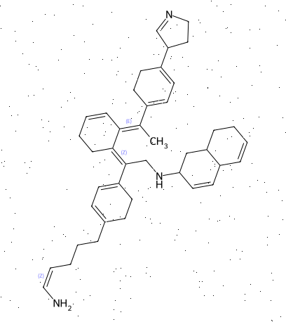 C/C(C1=CC=C(C2C=NCC2)CC1)=C1/C=CCC/C1=C(/CNC1C=CC2C=CCCC2C1)C1=CC=C(CCC/C=C\N)CC1